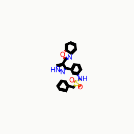 O=S(=O)(Cc1ccccc1)Nc1cccc(-c2n[nH]cc2-c2nc3ccccc3o2)c1